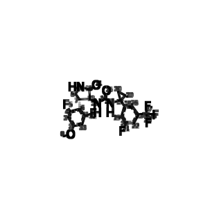 COc1cc(F)c([C@@H]2CNC(=O)[C@H]2NC(=O)NC2(c3cc(F)cc(C(F)(F)F)c3)CC2)c(F)c1